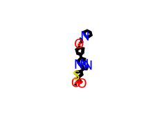 COC(=O)c1cc(-c2cnn3cc(-c4ccc(OCCN5CCCCC5)cc4)cnc23)cs1